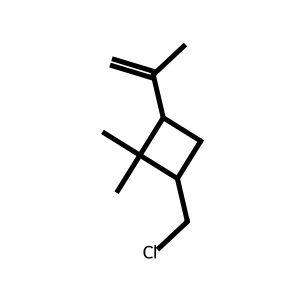 C=C(C)C1CC(CCl)C1(C)C